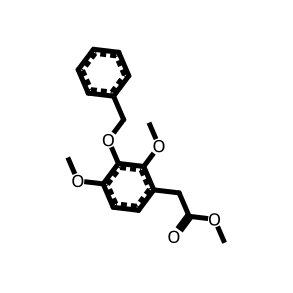 COC(=O)Cc1ccc(OC)c(OCc2ccccc2)c1OC